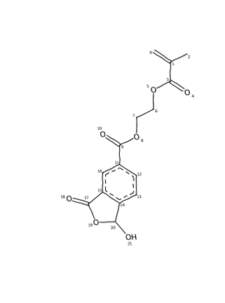 C=C(C)C(=O)OCCOC(=O)c1ccc2c(c1)C(=O)OC2O